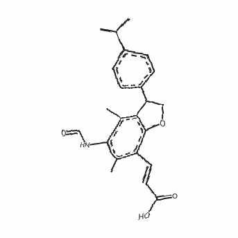 Cc1c(C=CC(=O)O)c2c(c(C)c1NC=O)C(c1ccc(C(C)C)cc1)CO2